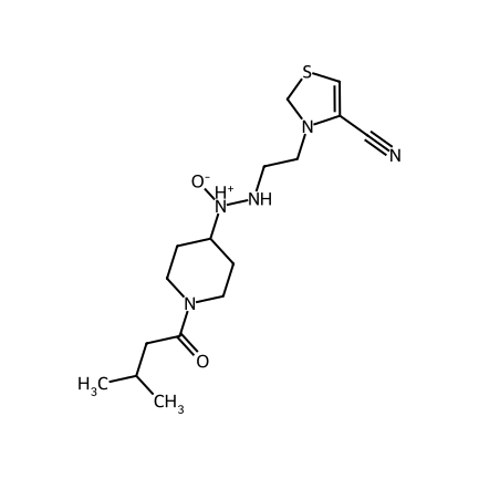 CC(C)CC(=O)N1CCC([NH+]([O-])NCCN2CSC=C2C#N)CC1